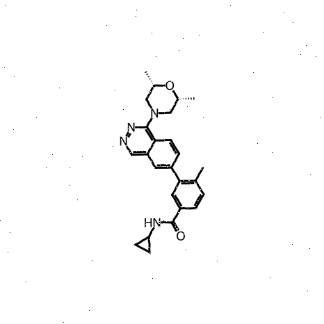 Cc1ccc(C(=O)NC2CC2)cc1-c1ccc2c(N3C[C@@H](C)O[C@@H](C)C3)nncc2c1